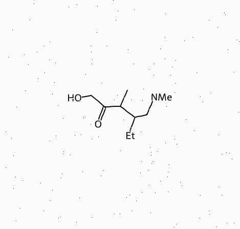 CCC(CNC)C(C)C(=O)CO